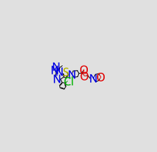 Cc1nnc2n1-c1sc(N3CCC(C(=O)OCCN4CCOCC4)CC3)cc1C(c1ccccc1Cl)=NC2